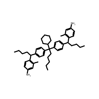 CCCCCC(c1ccc(C(CCCC)c2ccc(N)cc2C)cc1)(c1ccc(C(CCCC)c2ccc(N)cc2C)cc1)C1CCCCC1